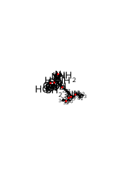 B[PH]1(O)OCC2OC(N3c4ncnc(N)c4NC3NCCCCCCNC3(C(C)C(C)C(C)C=C)CC3C3CC3C(C)CC)C(O)[C@@H]2O1